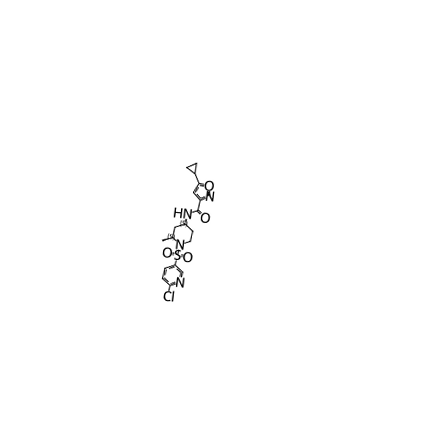 C[C@H]1C[C@@H](NC(=O)c2cc(C3CC3)on2)CCN1S(=O)(=O)c1ccc(Cl)nc1